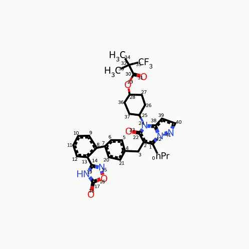 CCCc1c(Cc2ccc(-c3ccccc3-c3noc(=O)[nH]3)cc2)c(=O)n(C2CCC(OC(=O)C(C)(C)C(F)(F)F)CC2)c2ccnn12